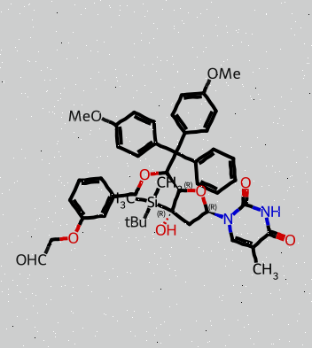 COc1ccc(C(c2ccccc2)(c2ccc(OC)cc2)C(OCc2cccc(OCC=O)c2)[C@H]2O[C@@H](n3cc(C)c(=O)[nH]c3=O)C[C@@]2(O)[Si](C)(C)C(C)(C)C)cc1